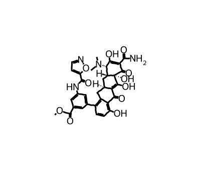 COC(=O)c1cc(NC(=O)c2ccno2)cc(-c2ccc(O)c3c2C[C@H]2C[C@@H]4[C@H](N(C)C)C(O)=C(C(N)=O)C(=O)[C@@]4(O)C(O)=C2C3=O)c1